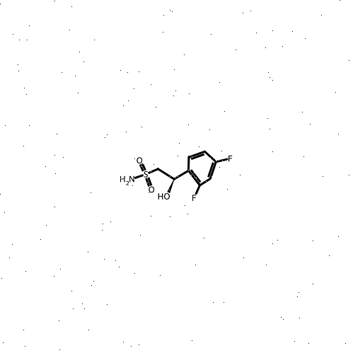 NS(=O)(=O)C[C@H](O)c1ccc(F)cc1F